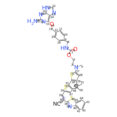 CN(CCOC(=O)NCc1ccc(COc2nc(N)nc3[nH]cnc23)cc1)c1cc2c(s1)-c1sc(/C=C(/C#N)c3nc4ccccc4s3)cc1[Si]2(C)C